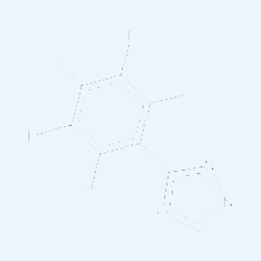 Fc1c(F)c(F)c(-c2nnco2)c(F)c1F